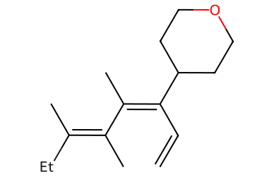 C=C/C(=C(C)\C(C)=C(/C)CC)C1CCOCC1